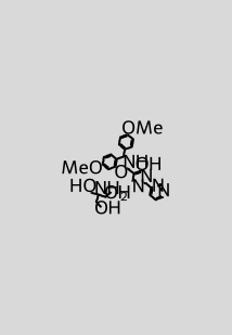 COc1ccc(C(NC(=O)c2cnc(-c3cccnn3)nc2O)c2ccc(OC)cc2)cc1.NC(CO)(CO)CO